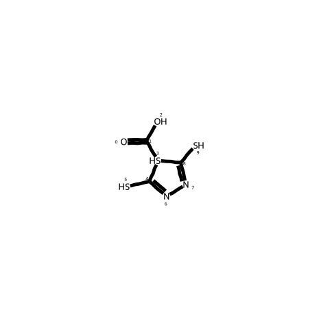 O=C(O)[SH]1C(S)=NN=C1S